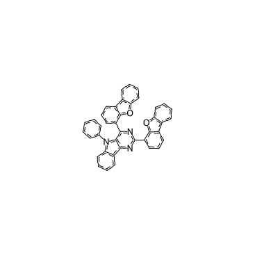 c1ccc(-n2c3ccccc3c3nc(-c4cccc5c4oc4ccccc45)nc(-c4cccc5c4oc4ccccc45)c32)cc1